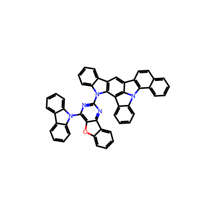 c1ccc2c(c1)ccc1c3cc4c5ccccc5n(-c5nc(-n6c7ccccc7c7ccccc76)c6oc7ccccc7c6n5)c4c4c5ccccc5n(c21)c34